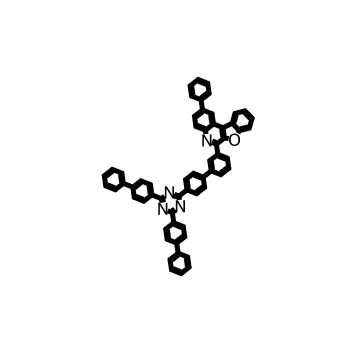 c1ccc(-c2ccc(-c3nc(-c4ccc(-c5ccccc5)cc4)nc(-c4ccc(-c5cccc(-c6nc7ccc(-c8ccccc8)cc7c7c6oc6ccccc67)c5)cc4)n3)cc2)cc1